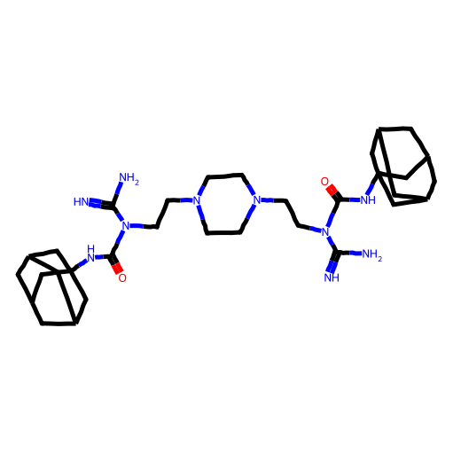 N=C(N)N(CCN1CCN(CCN(C(=N)N)C(=O)NC23CC4CC(CC(C4)C2)C3)CC1)C(=O)NC12CC3CC(CC(C3)C1)C2